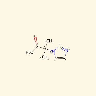 CC(=O)C(C)(C)n1ccnc1